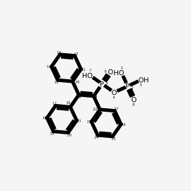 O=P(O)(O)OP(=O)(O)C(=C(c1ccccc1)c1ccccc1)c1ccccc1